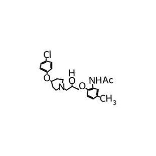 CC(=O)Nc1cc(C)ccc1OCC(O)CN1CCC(Oc2ccc(Cl)cc2)CC1